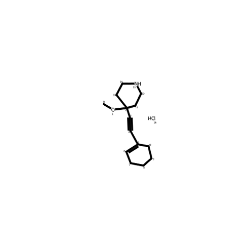 COC1(C#CC2=CCCCC2)CCNCC1.Cl